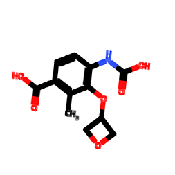 Cc1c(C(=O)O)ccc(NC(=O)O)c1OC1COC1